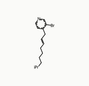 CC(C)CCCCC=CCc1ccncc1Br